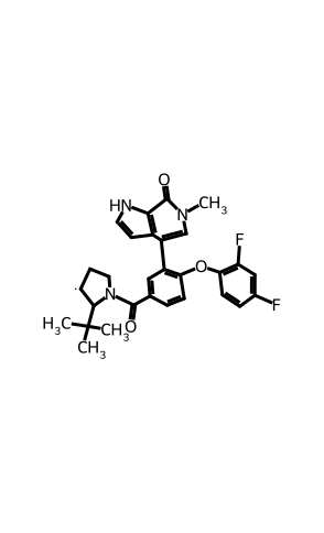 Cn1cc(-c2cc(C(=O)N3CC[CH]C3C(C)(C)C)ccc2Oc2ccc(F)cc2F)c2cc[nH]c2c1=O